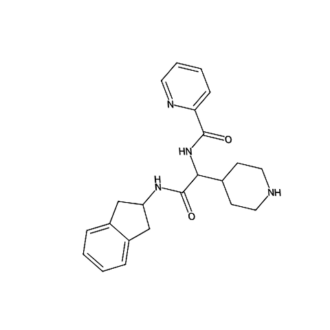 O=C(NC(C(=O)NC1Cc2ccccc2C1)C1CCNCC1)c1ccccn1